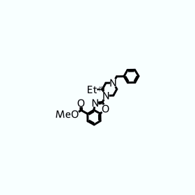 CC[C@H]1CN(Cc2ccccc2)CCN1c1nc2c(C(=O)OC)cccc2o1